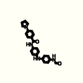 O=CNc1ccc(Nc2ccc(NC(=O)c3ccc(-n4cccc4)cc3)cc2)cc1